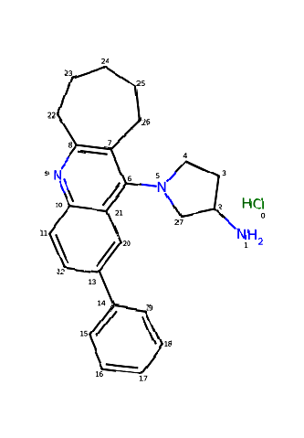 Cl.NC1CCN(c2c3c(nc4ccc(-c5ccccc5)cc24)CCCCC3)C1